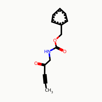 CC#CC(=O)CNC(=O)OCc1ccccc1